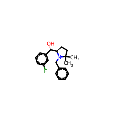 CC1(C)CC[C@H]([C@@H](O)c2cccc(F)c2)N1Cc1ccccc1